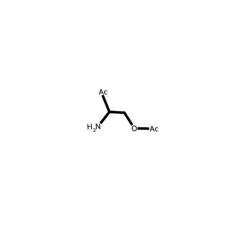 CC(=O)OCC(N)C(C)=O